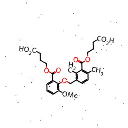 COc1cccc(C(=O)OCCCC(=O)O)c1OCc1ccc(C)c(C(=O)OCCCC(=O)O)c1C